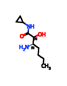 CCCC[C@H](N)[C@H](O)C(=O)NC1CC1